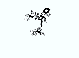 CC(C)(O)CNS(=O)(=O)N1CC(CCCB2OC(C)(C)C(C)(C)O2)C(N)(C(=O)O)C1Cc1ccccc1